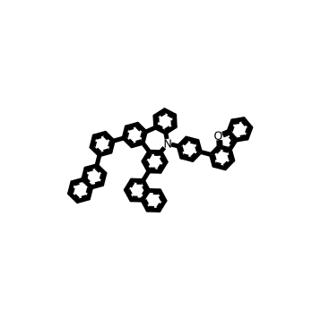 c1cc(-c2ccc3c(c2)-c2cc(-c4cccc5ccccc45)ccc2N(c2ccc(-c4cccc5c4oc4ccccc45)cc2)c2ccccc2-3)cc(-c2ccc3ccccc3c2)c1